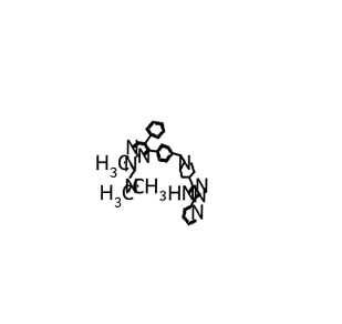 CN(C)CCN(C)c1ncc(-c2ccccc2)c(-c2ccc(CN3CCC(c4nnc(-c5ccccn5)[nH]4)CC3)cc2)n1